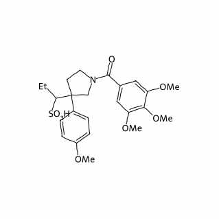 CCC(C1(c2ccc(OC)cc2)CCN(C(=O)c2cc(OC)c(OC)c(OC)c2)C1)S(=O)(=O)O